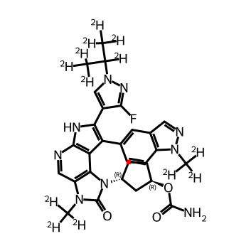 [2H]C([2H])([2H])n1ncc2cc(-c3c(-c4cn(C([2H])(C([2H])([2H])[2H])C([2H])([2H])[2H])nc4F)[nH]c4ncc5c(c34)n([C@@H]3CC[C@@H](OC(N)=O)C3)c(=O)n5C([2H])([2H])[2H])ccc21